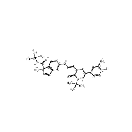 CC(C)(C)OC(=O)N(CCOc1ccc2c(c1)N=NC2(C)C(=O)OC(C)(C)C)CC(O)c1ccc(Cl)c(N)c1